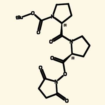 CC(C)(C)OC(=O)N1CCC[C@H]1C(=O)N1CCC[C@H]1C(=O)ON1C(=O)CCC1=O